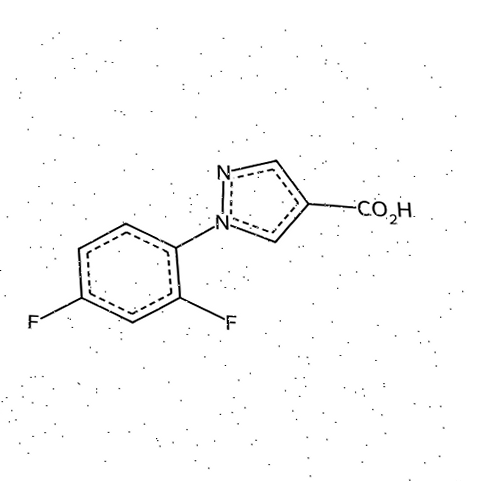 O=C(O)c1cnn(-c2ccc(F)cc2F)c1